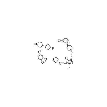 CCc1nn(CCCN2CCN(c3cccc(Cl)c3)CC2)c(=O)n1CCOc1ccccc1.Fc1ccc([C@@H]2CCNC[C@H]2COc2ccc3c(c2)OCO3)cc1